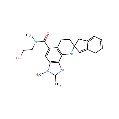 CC1Nc2c(cc(C(=O)N(C)CCO)c3c2NC2(C=C4CC=CC=C4C2)CC3)N1C